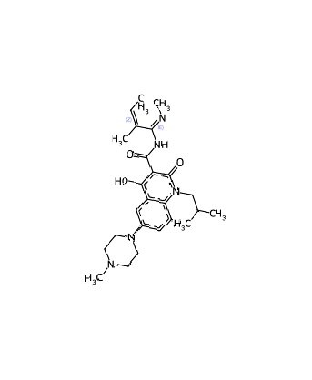 C/C=C(C)\C(=N/C)NC(=O)c1c(O)c2cc(N3CCN(C)CC3)ccc2n(CC(C)C)c1=O